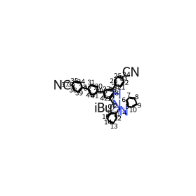 CCC(C)C(N/C(=N\c1ccccc1)c1ccccc1)c1cc(-c2ccc(C#N)cc2)cc(C2C=CC(c3ccc(C#N)cc3)=CC2)c1